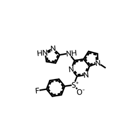 Cn1ccc2c(Nc3cc[nH]n3)nc([S+]([O-])c3ccc(F)cc3)nc21